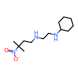 CC(C)(CCNCCNC1CCCCC1)[N+](=O)[O-]